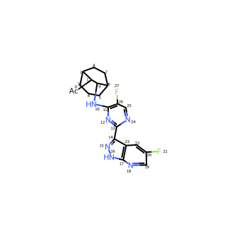 CC(=O)C1C2CCCC(CC2)C1Nc1nc(-c2n[nH]c3ncc(F)cc23)ncc1F